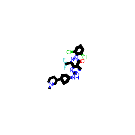 CN1CCCC(c2ccc(Nc3ncc4c(=O)n(-c5c(Cl)cccc5Cl)nc(C(F)F)c4n3)cc2)C1